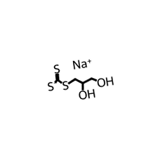 OCC(O)CSC(=S)[S-].[Na+]